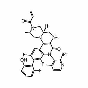 C=CC(=O)N1C[C@@H]2CN(C)c3c(c4cc(F)c(-c5c(O)cccc5F)c(F)c4n(-c4c(C)ccnc4C(C)C)c3=O)N2C[C@H]1C